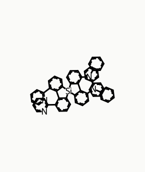 c1ccc(N(c2ccccc2)c2cccc3c2-c2c(N(c4ccccc4)c4ccccc4)cccc2[Si]32c3cccc(-c4ccccn4)c3-c3c(-c4ccccn4)cccc32)cc1